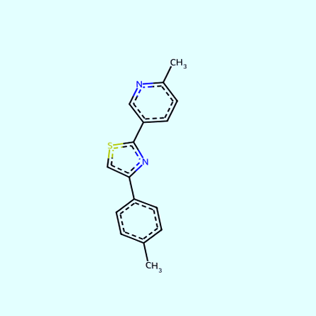 Cc1ccc(-c2csc(-c3ccc(C)nc3)n2)cc1